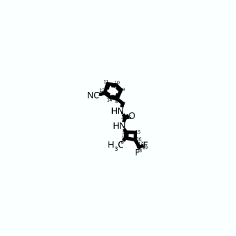 CC1=C(NC(=O)NCc2cccc(C#N)c2)CC1C(F)F